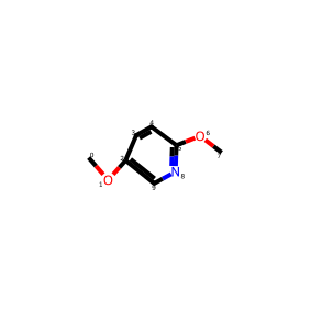 COc1ccc(OC)nc1